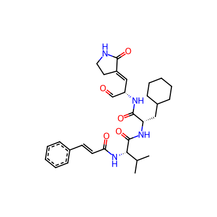 CC(C)[C@H](NC(=O)/C=C/c1ccccc1)C(=O)N[C@@H](CC1CCCCC1)C(=O)N[C@H](C=O)/C=C1\CCNC1=O